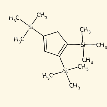 C[Si](C)(C)C1=CC([Si](C)(C)C)=C([Si](C)(C)C)C1